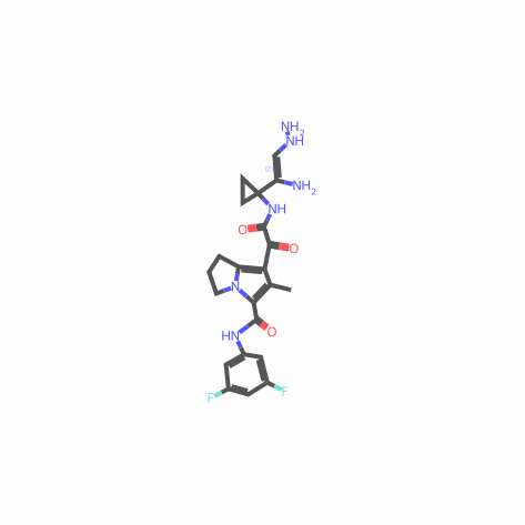 Cc1c(C(=O)C(=O)NC2(/C(N)=C/NN)CC2)c2n(c1C(=O)Nc1cc(F)cc(F)c1)CCC2